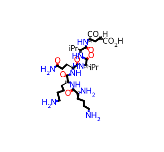 CC(C)[C@H](NC(=O)[C@H](CCC(N)=O)NC(=O)[C@H](CCCCN)NC(=O)[C@@H](N)CCCCN)C(=O)N[C@H](C(=O)N[C@@H](CCC(=O)O)C(=O)O)C(C)C